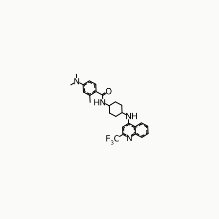 Cc1cc(N(C)C)ccc1C(=O)NC1CCC(Nc2cc(C(F)(F)F)nc3ccccc23)CC1